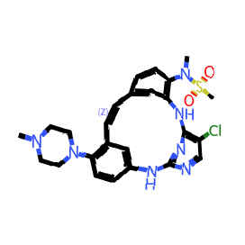 CN1CCN(c2ccc3cc2/C=C\c2ccc(N(C)S(C)(=O)=O)c(c2)Nc2nc(ncc2Cl)N3)CC1